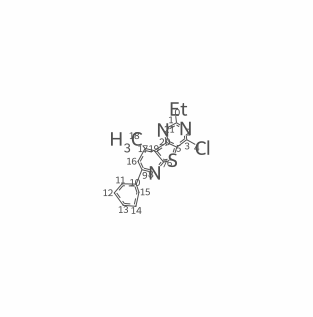 CCc1nc(Cl)c2sc3nc(-c4ccccc4)cc(C)c3c2n1